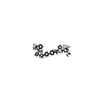 CCN(CC)CCC(NC(=O)OC)C(=O)N1CCC[C@H]1c1ncc(-c2ccc(-c3ccc(-c4cnc([C@@H]5CCCN5C(=O)[C@H](NC(=O)O)c5ccccc5)[nH]4)cc3)cc2)[nH]1